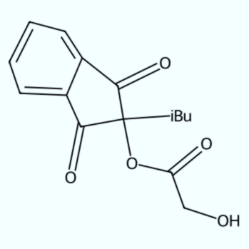 CCC(C)C1(OC(=O)CO)C(=O)c2ccccc2C1=O